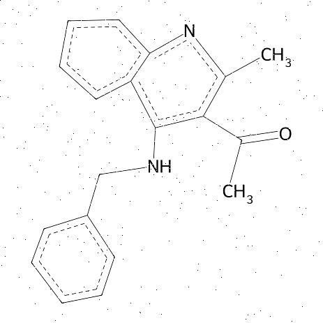 CC(=O)c1c(C)nc2ccccc2c1NCc1ccccc1